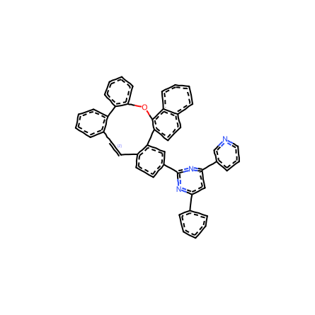 C1=C\c2ccc(-c3nc(-c4ccccc4)cc(-c4cccnc4)n3)cc2-c2ccc3ccccc3c2Oc2ccccc2-c2ccccc2/1